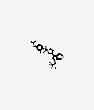 Cc1cc(OC(C)C)ccc1S(=O)(=O)N1CCC(c2cn(CC(=O)O)c3cnccc23)C1